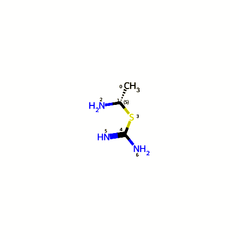 C[C@@H](N)SC(=N)N